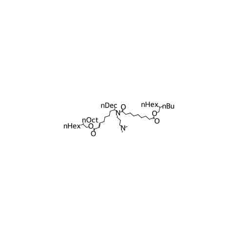 CCCCCCCCCCC(CCCCC=CC(=O)OCC(CCCCCC)CCCCCCCC)N(CCCN(C)C)C(=O)CCCCCCCC(=O)OCC(CCCC)CCCCCC